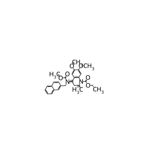 CCOC(=O)N1c2cc(OC)c(OC)cc2[C@H](N(Cc2ccc3ccccc3c2)C(=O)OC)C[C@@H]1C